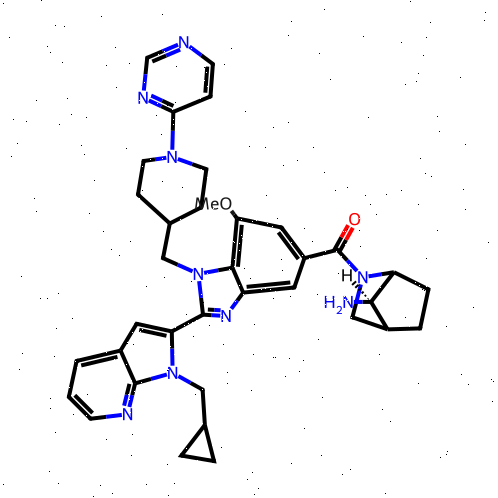 COc1cc(C(=O)N2CC3CCC2[C@@H]3N)cc2nc(-c3cc4cccnc4n3CC3CC3)n(CC3CCN(c4ccncn4)CC3)c12